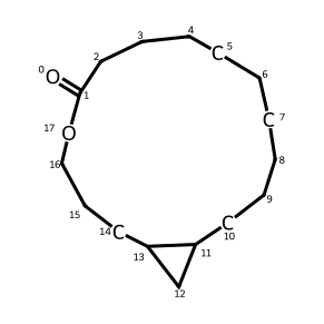 O=C1CCCCCCCCCC2CC2CCCO1